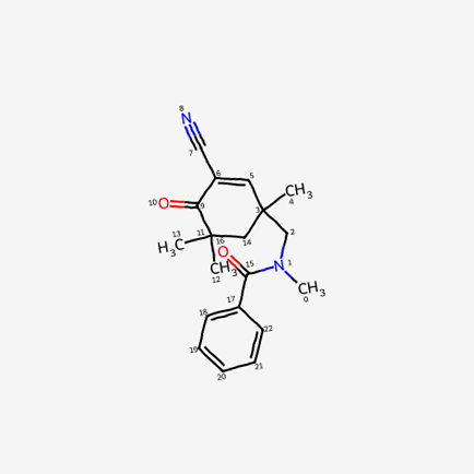 CN(CC1(C)C=C(C#N)C(=O)C(C)(C)C1)C(=O)c1ccccc1